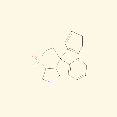 O=S1(=O)CCC(c2ccccc2)(c2ccccc2)C2CNCC21